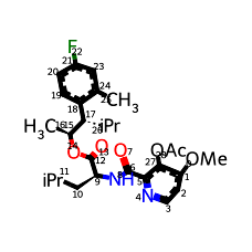 COc1ccnc(C(=O)N[C@@H](CC(C)C)C(=O)O[C@@H](C)[C@H](c2ccc(F)cc2C)C(C)C)c1OC(C)=O